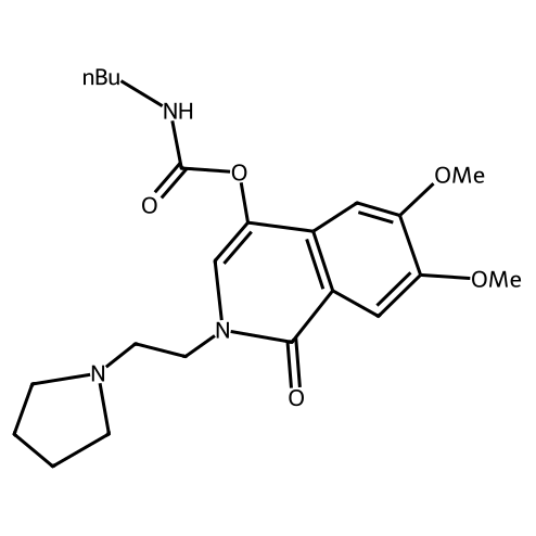 CCCCNC(=O)Oc1cn(CCN2CCCC2)c(=O)c2cc(OC)c(OC)cc12